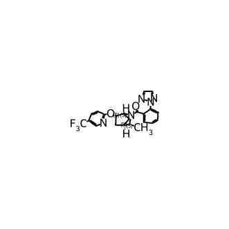 C[C@H]1[C@H]2C[C@@H](Oc3ccc(C(F)(F)F)cn3)[C@H](C2)N1C(=O)c1ccccc1-n1nccn1